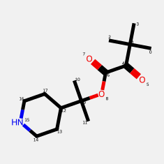 CC(C)(C)C(=O)C(=O)OC(C)(C)C1CCNCC1